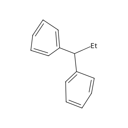 [CH]CC(c1ccccc1)c1ccccc1